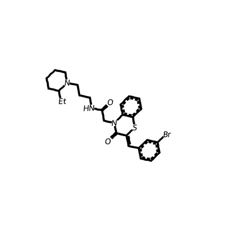 CCC1CCCCN1CCCNC(=O)CN1C(=O)C(=Cc2cccc(Br)c2)Sc2ccccc21